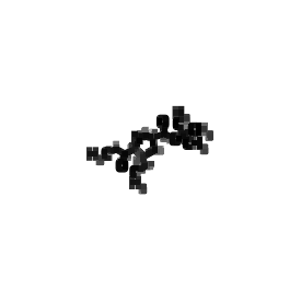 CCC(=O)c1ncc(C(=O)OC(C)(C)C)cc1CC